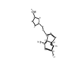 OC1CCN(CCn2ccc3cc(F)cc(F)c32)C1